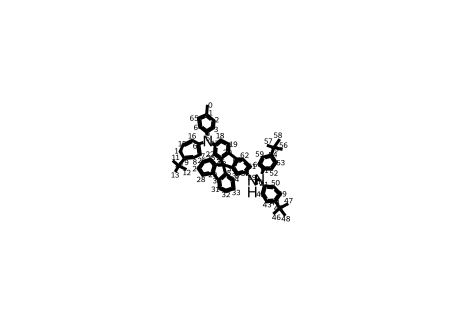 Cc1ccc(N(C2=CC=C(C(C)(C)C)CC=C2)c2ccc3c(c2)C2(c4ccccc4-c4ccccc42)c2cc(NN(c4ccc(C(C)(C)C)cc4)c4ccc(C(C)(C)C)cc4)ccc2-3)cc1